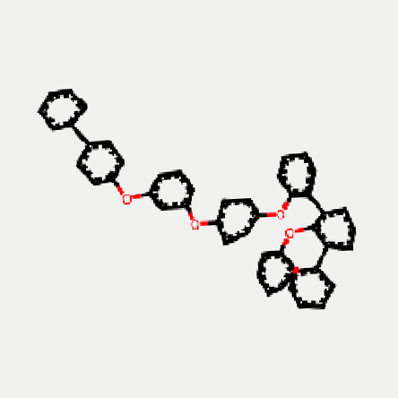 c1ccc(Oc2c(-c3ccccc3)cccc2-c2ccccc2Oc2ccc(Oc3cccc(Oc4ccc(-c5ccccc5)cc4)c3)cc2)cc1